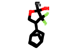 OC1(C(F)(F)F)OCC(C2CC3C=CC2C3)C1(F)F